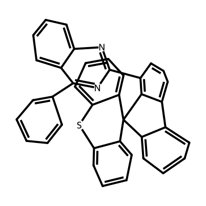 c1ccc(-c2nc(-c3cccc4c3C3(c5ccccc5Sc5ccccc53)c3ccccc3-4)nc3ccccc23)cc1